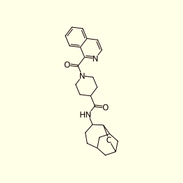 O=C(NC1CCC2CC3CC(C2)C1C3)C1CCN(C(=O)c2nccc3ccccc23)CC1